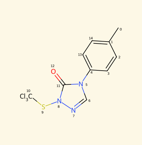 Cc1ccc(-n2cnn(SC(Cl)(Cl)Cl)c2=O)cc1